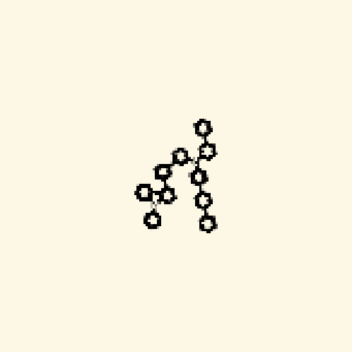 c1ccc(-c2ccc(-c3ccc(N(c4cccc(-c5ccccc5)c4)c4cccc(-c5cccc(-c6cccc7c6c6ccccc6n7-c6ccccc6)c5)c4)cc3)cc2)cc1